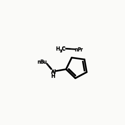 CCCC.CCC[CH2][AlH][C]1=CC=CC1